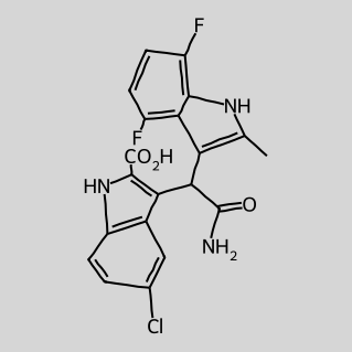 Cc1[nH]c2c(F)ccc(F)c2c1C(C(N)=O)c1c(C(=O)O)[nH]c2ccc(Cl)cc12